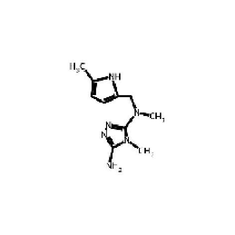 Cc1ccc(CN(C)c2nnc(N)n2C)[nH]1